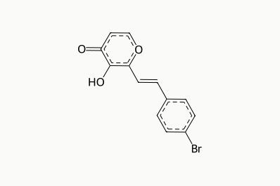 O=c1ccoc(C=Cc2ccc(Br)cc2)c1O